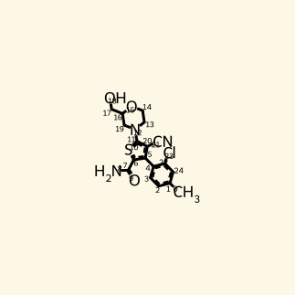 Cc1ccc(-c2c(C(N)=O)sc(N3CCOC(CO)C3)c2C#N)c(Cl)c1